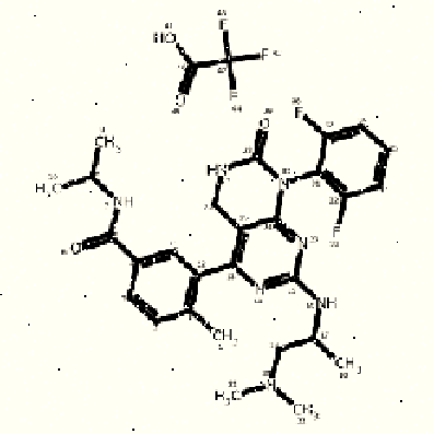 Cc1ccc(C(=O)NC(C)C)cc1-c1nc(NC(C)CN(C)C)nc2c1CNC(=O)N2c1c(F)cccc1F.O=C(O)C(F)(F)F